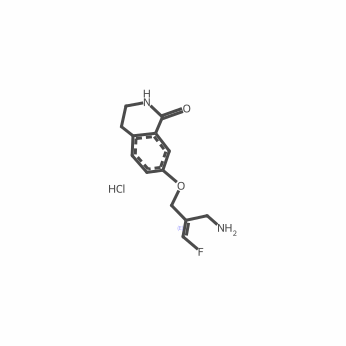 Cl.NC/C(=C\F)COc1ccc2c(c1)C(=O)NCC2